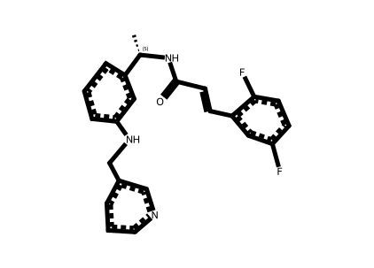 C[C@H](NC(=O)C=Cc1cc(F)ccc1F)c1cccc(NCc2cccnc2)c1